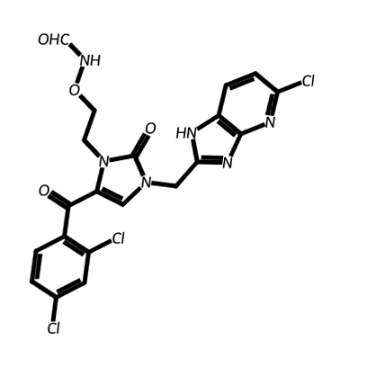 O=CNOCCn1c(C(=O)c2ccc(Cl)cc2Cl)cn(Cc2nc3nc(Cl)ccc3[nH]2)c1=O